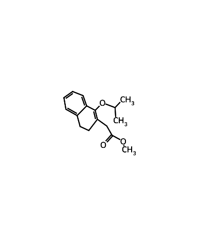 COC(=O)CC1=C(OC(C)C)c2ccccc2CC1